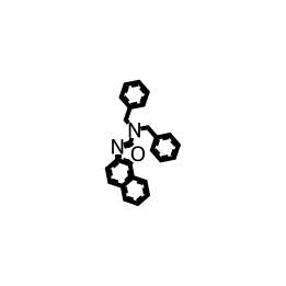 c1ccc(CN(Cc2ccccc2)c2nc3ccc4ccccc4c3o2)cc1